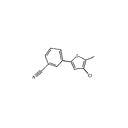 Cc1sc(-c2cccc(C#N)c2)cc1Cl